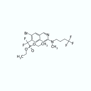 CCOP(=O)(OCC)C(F)(F)c1cc2cc(N(C)CCCC(F)(F)F)ncc2cc1Br